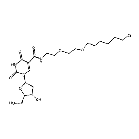 O=C(NCCOCCOCCCCCCCl)c1cn([C@H]2CC(O)[C@@H](CO)O2)c(=O)[nH]c1=O